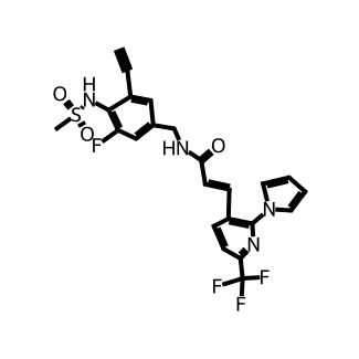 C#Cc1cc(CNC(=O)C=Cc2ccc(C(F)(F)F)nc2-n2cccc2)cc(F)c1NS(C)(=O)=O